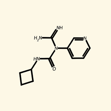 N=C(N)N(C(=O)NC1CCC1)c1cccnc1